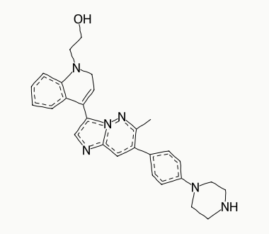 Cc1nn2c(C3=CCN(CCO)c4ccccc43)cnc2cc1-c1ccc(N2CCNCC2)cc1